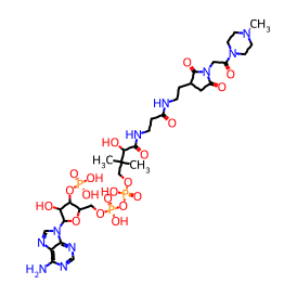 CN1CCN(C(=O)CN2C(=O)CC(CCNC(=O)CCNC(=O)C(O)C(C)(C)COP(=O)(O)OP(=O)(O)OCC3OC(n4cnc5c(N)ncnc54)C(O)C3OP(=O)(O)O)C2=O)CC1